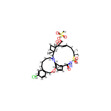 C[C@@H]1[C@@H](C)C/C=C/[C@@](O)(COS(C)(=O)=O)[C@@H]2CC[C@H]2CN2CCCCc3cc(Cl)ccc3COc3ccc(cc32)C(=O)NS1(=O)=O